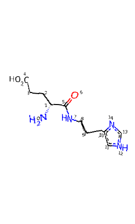 N[C@H](CCC(=O)O)C(=O)NCCc1c[nH]cn1